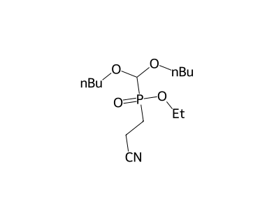 CCCCOC(OCCCC)P(=O)(CCC#N)OCC